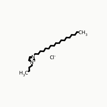 CCCCCCCCCCCCCCCCCCn1cc[n+](CCCC)c1.[Cl-]